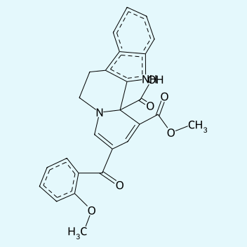 COC(=O)C1=CC(C(=O)c2ccccc2OC)=CN2CCc3c([nH]c4ccccc34)C12C(=O)O